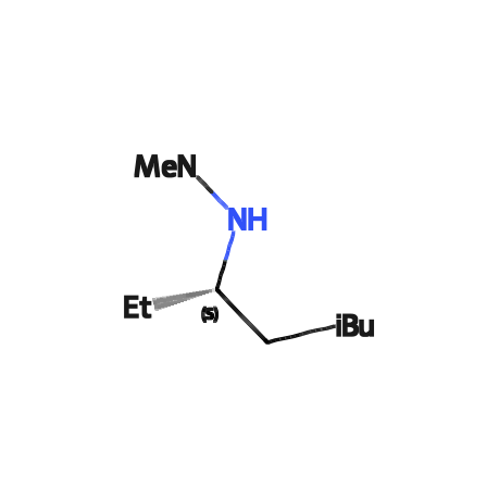 CCC(C)C[C@H](CC)NNC